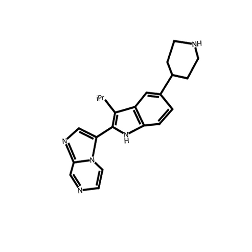 CC(C)c1c(-c2cnc3cnccn23)[nH]c2ccc(C3CCNCC3)cc12